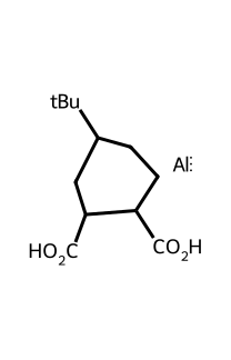 CC(C)(C)C1CCC(C(=O)O)C(C(=O)O)C1.[Al]